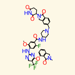 COc1cc(C(=O)NC2CCN(Cc3ccc4c(c3)CN(C3CCC(=O)NC3=O)C4=O)CC2)c(F)cc1Nc1ncc(C(F)(F)F)c(Oc2cccc3c2C(=O)N(C)C3)n1